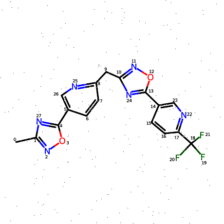 Cc1noc(-c2ccc(Cc3noc(-c4ccc(C(F)(F)F)nc4)n3)nc2)n1